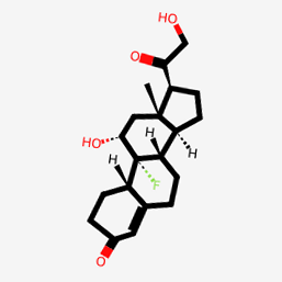 C[C@]12C[C@@H](O)[C@]3(F)[C@H]4CCC(=O)C=C4CC[C@H]3[C@@H]1CC[C@@H]2C(=O)CO